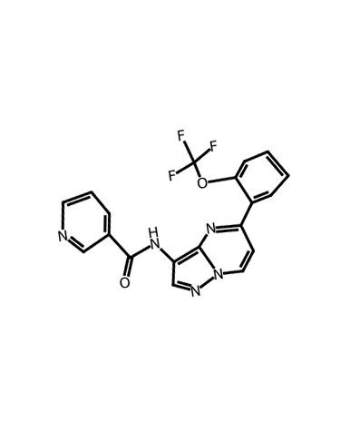 O=C(Nc1cnn2ccc(-c3ccccc3OC(F)(F)F)nc12)c1cccnc1